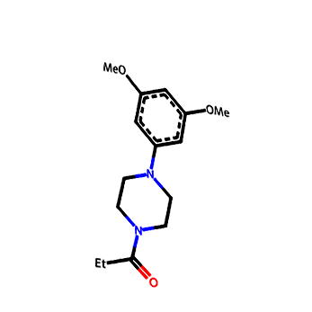 CCC(=O)N1CCN(c2cc(OC)cc(OC)c2)CC1